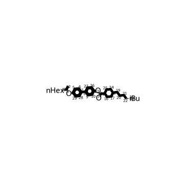 CCCCCC[C@@H](C)Oc1ccc(-c2ccc(OC(=O)C3CCC(CCCC[C@@H](C)CC)CC3)cc2)cc1